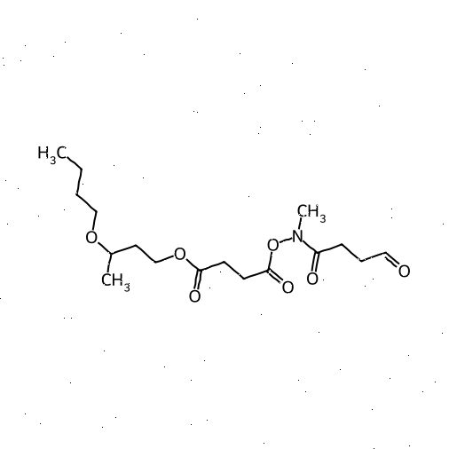 CCCCOC(C)CCOC(=O)CCC(=O)ON(C)C(=O)CCC=O